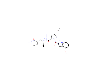 C#CC(CC1CCNC1=O)NC(=O)C1CC(OCC)CN1C(=O)c1cc2c(OC)cccc2[nH]1